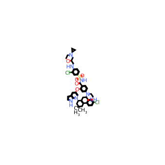 CC1(C)CCC(CC2CNCCN2c2ccc(C(=O)NS(=O)(=O)c3ccc(NCC4CN(C5CC5)CCO4)c(Cl)c3)c(Oc3cnc4[nH]ccc4c3)c2)=C(c2ccc(Cl)cc2)C1